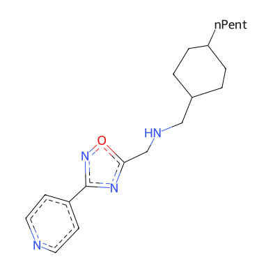 CCCCCC1CCC(CNCc2nc(-c3ccncc3)no2)CC1